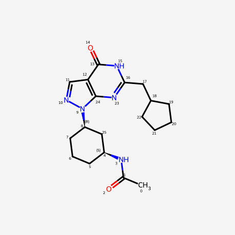 CC(=O)N[C@H]1CCC[C@@H](n2ncc3c(=O)[nH]c(CC4CCCC4)nc32)C1